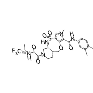 Cc1cc(NC(=O)c2c3c(cn2C)S(=O)(=O)NC2CN(C(=O)C(=O)N[C@@H](C)C(F)(F)F)CCC2CO3)ccc1F